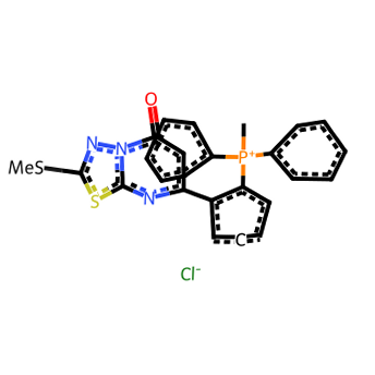 CSc1nn2c(=O)cc(-c3ccccc3[P+](C)(c3ccccc3)c3ccccc3)nc2s1.[Cl-]